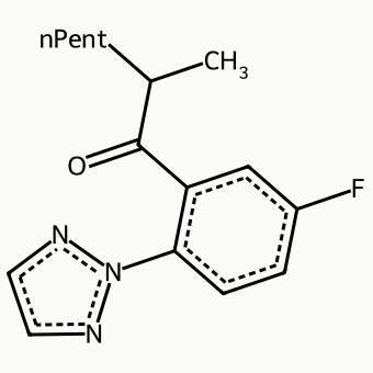 CCCCCC(C)C(=O)c1cc(F)ccc1-n1nccn1